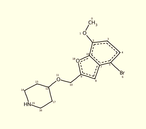 COc1ccc(Br)c2cc(COC3CCNCC3)oc12